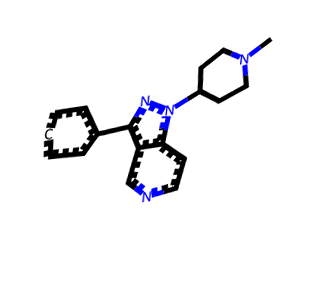 CN1CCC(n2nc(-c3ccccc3)c3cnccc32)CC1